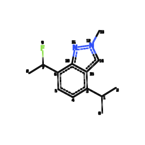 CC(C)c1ccc(C(C)F)c2nn(C)cc12